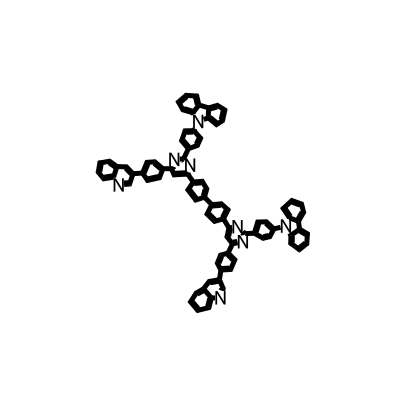 c1ccc2ncc(-c3ccc(-c4cc(-c5ccc(-c6ccc(-c7cc(-c8ccc(-c9cnc%10ccccc%10c9)cc8)nc(-c8ccc(-n9c%10ccccc%10c%10ccccc%109)cc8)n7)cc6)cc5)nc(-c5ccc(-n6c7ccccc7c7ccccc76)cc5)n4)cc3)cc2c1